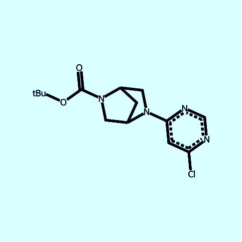 CC(C)(C)OC(=O)N1CC2CC1CN2c1cc(Cl)ncn1